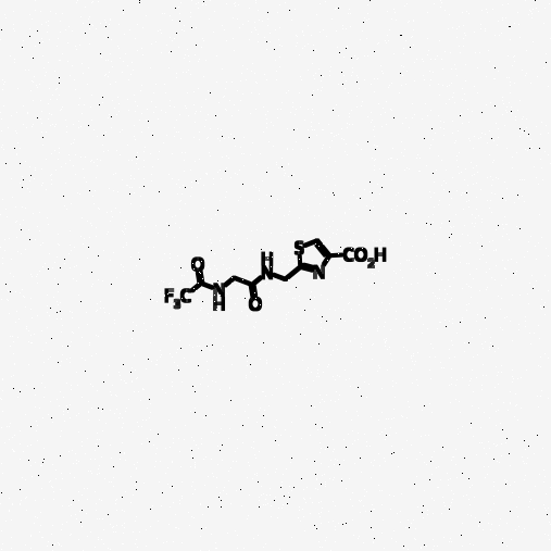 O=C(CNC(=O)C(F)(F)F)NCc1nc(C(=O)O)cs1